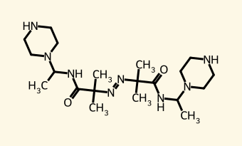 CC(NC(=O)C(C)(C)/N=N/C(C)(C)C(=O)NC(C)N1CCNCC1)N1CCNCC1